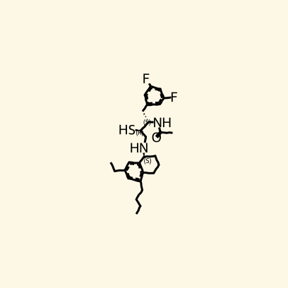 CCCCc1cc(CC)cc2c1CCC[C@@H]2NC[C@@H](S)[C@H](Cc1cc(F)cc(F)c1)NC(C)=O